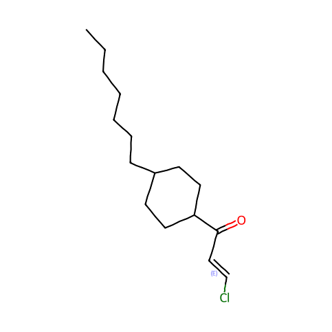 CCCCCCCC1CCC(C(=O)/C=C/Cl)CC1